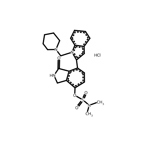 CN(C)S(=O)(=O)Oc1ccc(-c2cc3ccccc3n2CN2CCCCC2)c2c1CNC2=O.Cl